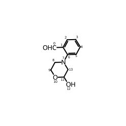 O=Cc1ccccc1N1CCOC(O)C1